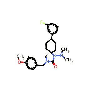 COc1ccc(CN2C[C@]3(CC[C@H](c4cccc(F)c4)CC3)N(N(C)C)C2=O)cc1